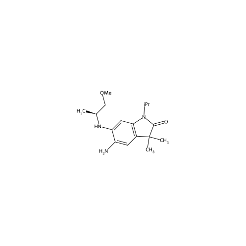 COC[C@H](C)Nc1cc2c(cc1N)C(C)(C)C(=O)N2C(C)C